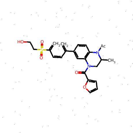 C=C(/C=C\C(=C)S(=O)(=O)CCO)c1ccc2c(c1)N(C(=O)c1ccco1)CC(C)N2C(C)=O